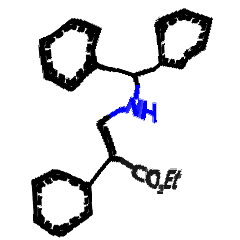 CCOC(=O)/C(=C\NC(c1ccccc1)c1ccccc1)c1ccccc1